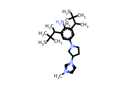 CC(c1cc(N2CCC(n3cc[n+](C)c3)C2)cc(C(C)C(C)(C)[SiH3])c1N)C(C)(C)[SiH3]